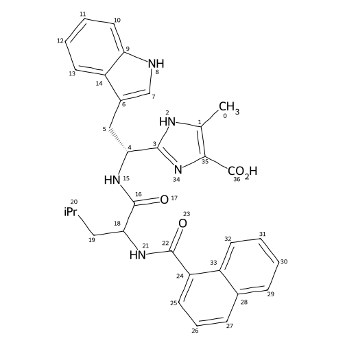 Cc1[nH]c([C@@H](Cc2c[nH]c3ccccc23)NC(=O)C(CC(C)C)NC(=O)c2cccc3ccccc23)nc1C(=O)O